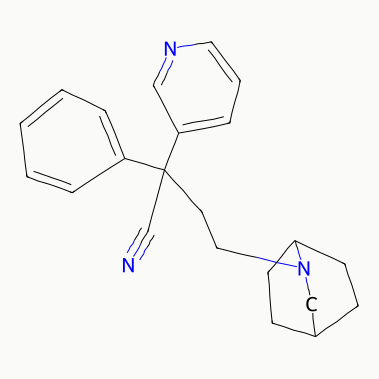 N#CC(CCN1CC2CCC1CC2)(c1ccccc1)c1cccnc1